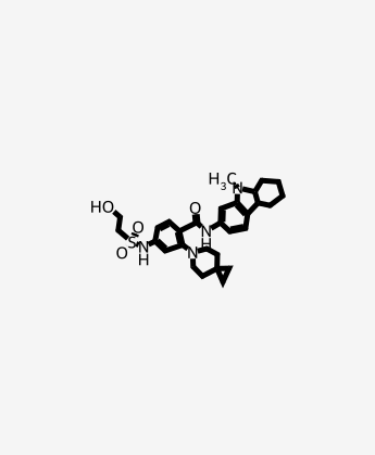 CN1c2cc(NC(=O)c3ccc(NS(=O)(=O)CCO)cc3N3CCC4(CC3)CC4)ccc2C2CCCCC21